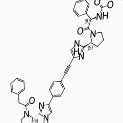 COC(=O)N[C@@H](C(=O)N1CCC[C@H]1c1nc(C#Cc2ccc(-c3c[nH]c([C@@H]4CCCN4C(=O)Cc4ccccc4)n3)cc2)c[nH]1)c1ccccc1